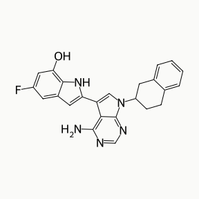 Nc1ncnc2c1c(-c1cc3cc(F)cc(O)c3[nH]1)cn2C1CCc2ccccc2C1